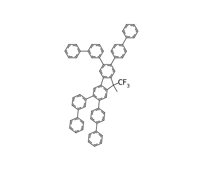 CC1(C(F)(F)F)c2cc(-c3ccc(-c4ccccc4)cc3)c(-c3cccc(-c4ccccc4)c3)cc2-c2cc(-c3cccc(-c4ccccc4)c3)c(-c3ccc(-c4ccccc4)cc3)cc21